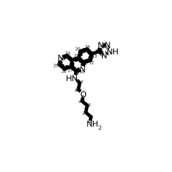 NCCCCOCCNc1nc2cc(-c3nn[nH]n3)ccc2c2cnccc12